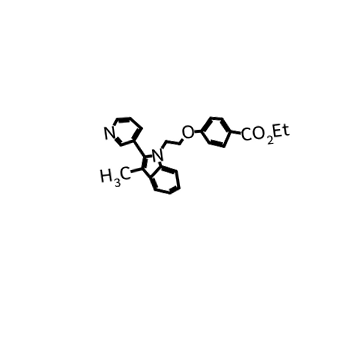 CCOC(=O)c1ccc(OCCn2c(-c3cccnc3)c(C)c3ccccc32)cc1